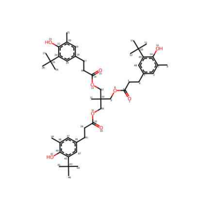 Cc1cc(CCC(=O)OCC(C)(COC(=O)CCc2cc(C)c(O)c(C(C)(C)C)c2)COC(=O)CCc2cc(C)c(O)c(C(C)(C)C)c2)cc(C(C)(C)C)c1O